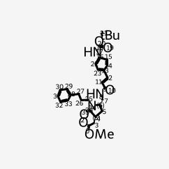 COC(=O)C[C@@H]1C[C@@H](CNC(=O)C=Cc2ccc(NC(=O)OC(C)(C)C)cc2)N(CCCc2ccccc2)C1=O